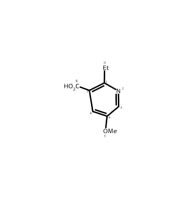 CCc1ncc(OC)cc1C(=O)O